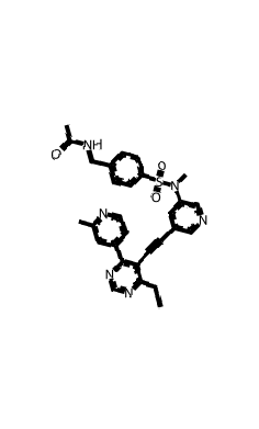 CCc1ncnc(-c2ccnc(C)c2)c1C#Cc1cncc(N(C)S(=O)(=O)c2ccc(CNC(C)=O)cc2)c1